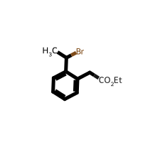 CCOC(=O)Cc1ccccc1C(C)Br